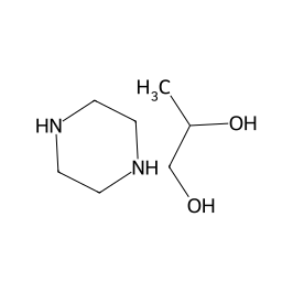 C1CNCCN1.CC(O)CO